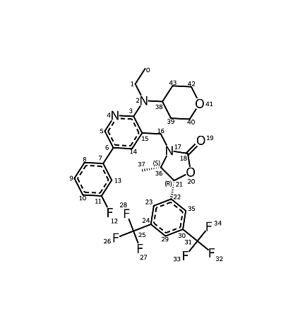 CCN(c1ncc(-c2cccc(F)c2)cc1CN1C(=O)O[C@H](c2cc(C(F)(F)F)cc(C(F)(F)F)c2)[C@@H]1C)C1CCOCC1